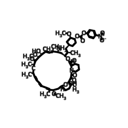 CO[C@H]1C[C@@H]2CC[C@@H](C)[C@@](O)(O2)C(=O)C(=O)N2CCCC[C@H]2C(=O)O[C@H]([C@H](C)C[C@@H]2CC[C@@H](OC(=O)Oc3ccc([N+](=O)[O-])cc3)[C@H](OC)C2)C[C@H](N)[C@H](C)/C=C(\C)[C@@H](O)[C@@H](OC)C(=O)[C@H](C)C[C@H](C)/C=C/C=C/C=C/1C